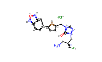 Cl.NC/C(=C/F)Cn1ncn(Cc2ccc(-c3ccc4nonc4c3)s2)c1=O